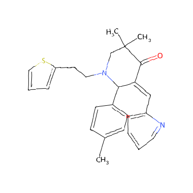 Cc1ccc(C2/C(=C\c3ccccn3)C(=O)C(C)(C)CN2CCc2cccs2)cc1